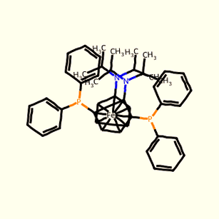 CC(C)N(C(C)C)[C]12[CH]3[CH]4[CH]5[CH]1[Fe]45321678[CH]2[CH]1[C]6(P(c1ccccc1)c1ccccc1)[C]7(N(C(C)C)C(C)C)[C]28P(c1ccccc1)c1ccccc1